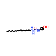 CCCCCCCCCCCCCCCCCCNNC(=O)NCCc1ccc(O)cc1